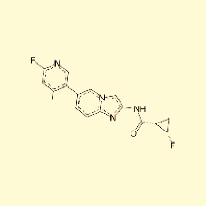 Cc1cc(F)ncc1-c1ccc2nc(NC(=O)[C@@H]3C[C@@H]3F)cn2c1